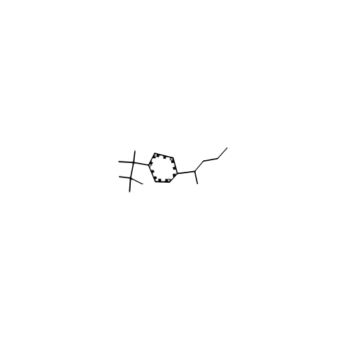 CCCC(C)c1ccc(C(C)(O)C(F)(F)F)cc1